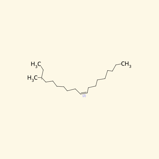 CCCCCCCC/C=C\CCCCCC[C](C)CC